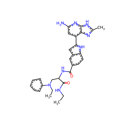 CCNC(=O)C(CN(CC)c1ccccc1)NC(=O)c1ccc2[nH]c(-c3cc(N)nc4[nH]c(C)nc34)cc2c1